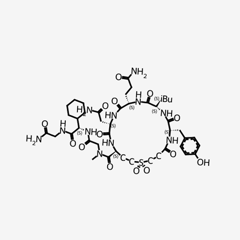 CC[C@H](C)[C@@H]1NC(=O)[C@H](Cc2ccc(O)cc2)NC(=O)CCS(=O)(=O)CC[C@@H](C(=O)N(C)CC(=O)N[C@H](C(=O)NCC(N)=O)C2CCCCC2)NC(=O)[C@H](CC(N)=O)NC(=O)[C@H](CCC(N)=O)NC1=O